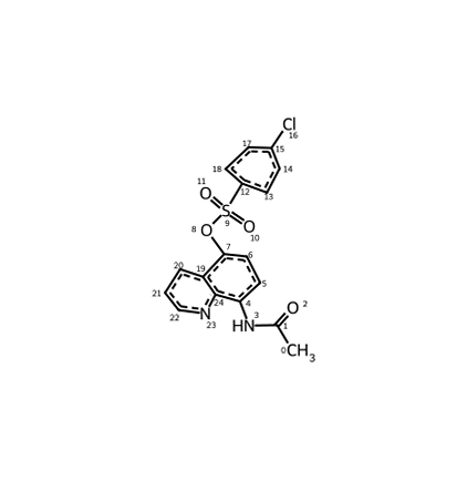 CC(=O)Nc1ccc(OS(=O)(=O)c2ccc(Cl)cc2)c2cccnc12